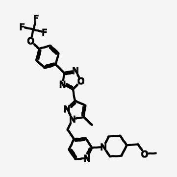 COCC1CCN(c2cc(Cn3nc(-c4nc(-c5ccc(OC(F)(F)F)cc5)no4)cc3C)ccn2)CC1